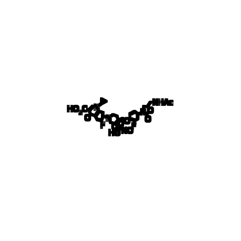 CC(=O)NCC1CN(c2ccc(OCC3(OP(=O)(O)N=O)CCN(c4cc5c(cc4F)c(=O)c(C(=O)O)cn5C4CC4)CC3)c(F)c2)C(=O)O1